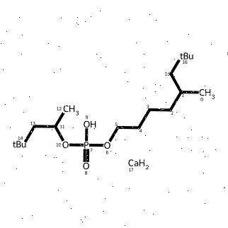 CC(CCCCOP(=O)(O)OC(C)CC(C)(C)C)CC(C)(C)C.[CaH2]